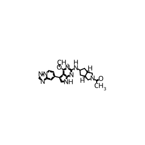 COc1nc(NC2C[C@@H]3CN(C(C)=O)C[C@@H]3C2)nc2[nH]cc(-c3ccn4ncnc4c3)c12